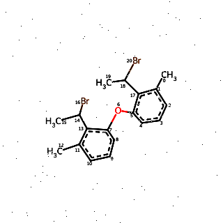 Cc1cccc(Oc2cccc(C)c2C(C)Br)c1C(C)Br